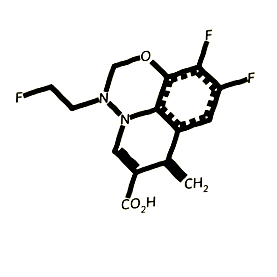 C=C1C(C(=O)O)=CN2c3c1cc(F)c(F)c3OCN2CCF